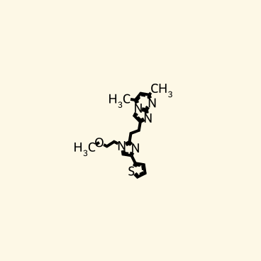 COCCn1cc(-c2cccs2)nc1CCc1cn2c(C)cc(C)nc2n1